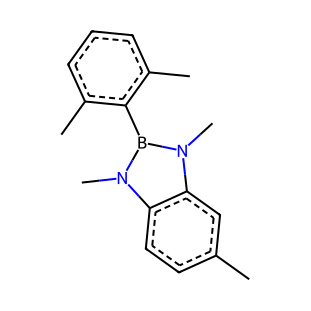 Cc1ccc2c(c1)N(C)B(c1c(C)cccc1C)N2C